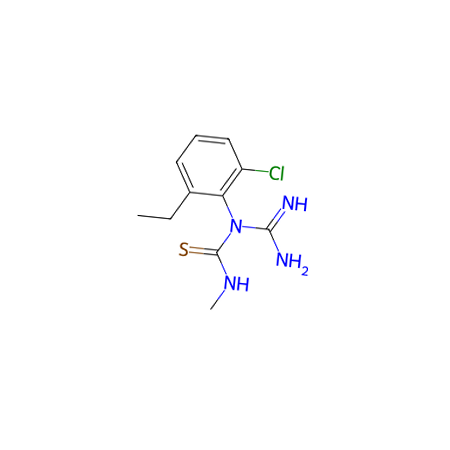 CCc1cccc(Cl)c1N(C(=N)N)C(=S)NC